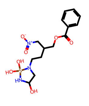 O=C(OCC(CCN1CC(O)NS1(O)O)C[N+](=O)[O-])c1ccccc1